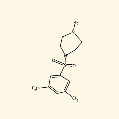 CC(=O)N1CCN(S(=O)(=O)c2cc(C(F)(F)F)cc(C(F)(F)F)c2)CC1